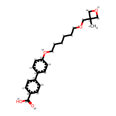 CC1(COCCCCCCOc2ccc(-c3ccc(C(=O)O)cc3)cc2)COC1